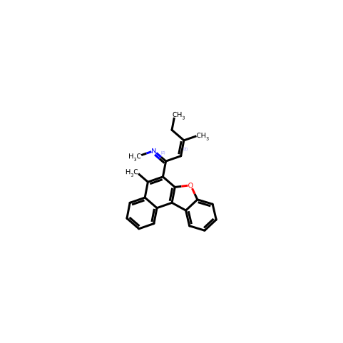 CC/C(C)=C\C(=N\C)c1c(C)c2ccccc2c2c1oc1ccccc12